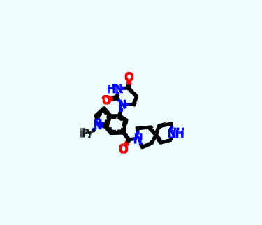 CC(C)n1ccc2c(N3CCC(=O)NC3=O)cc(C(=O)N3CCC4(CCNCC4)CC3)cc21